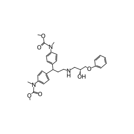 COC(=O)N(C)c1ccc(C(CCNC[C@H](O)COc2ccccc2)c2ccc(N(C)C(=O)OC)cc2)cc1